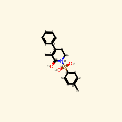 CC1=C(c2ccccc2)CCN(S(=O)(=O)c2ccc(C)cc2)C1=O